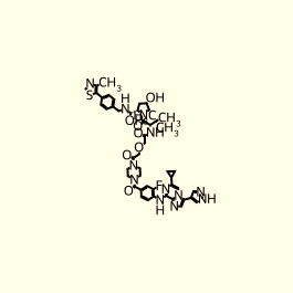 Cc1ncsc1-c1ccc(CNC(O)[C@@H]2C[C@@H](O)CN2C(=O)[C@@H](NC(=O)COCC(=O)N2CCN(C(=O)c3ccc(Nc4nc(C5CC5)cn5c(-c6cn[nH]c6)cnc45)c(F)c3)CC2)C(C)(C)C)cc1